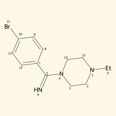 CCN1CCN(C(=N)c2ccc(Br)cc2)CC1